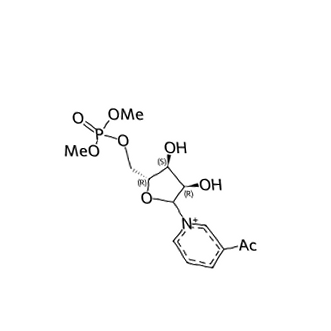 COP(=O)(OC)OC[C@H]1OC([n+]2cccc(C(C)=O)c2)[C@H](O)[C@@H]1O